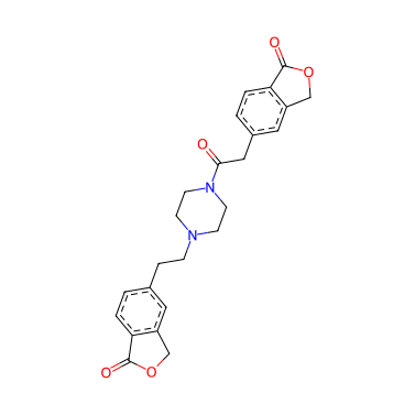 O=C1OCc2cc(CCN3CCN(C(=O)Cc4ccc5c(c4)COC5=O)CC3)ccc21